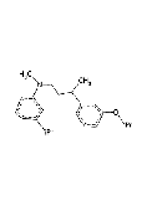 CC(C)Oc1cccc(C(C)CCN(C)c2cccc(C(C)C)c2)c1